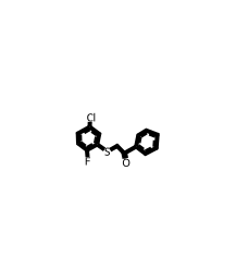 O=C(CSc1cc(Cl)ccc1F)c1ccccc1